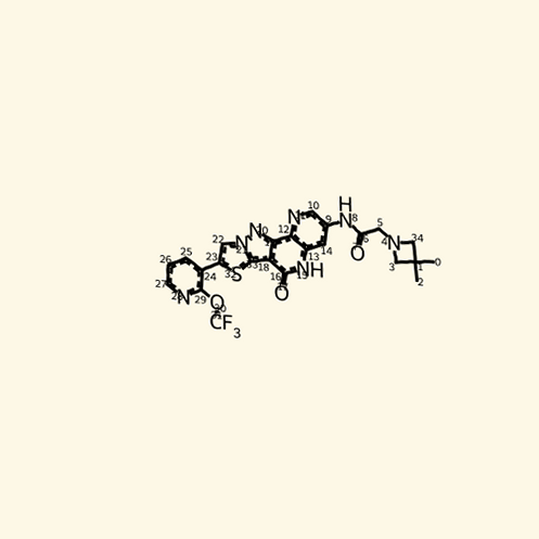 CC1(C)CN(CC(=O)Nc2cnc3c(c2)[nH]c(=O)c2c3nn3cc(-c4cccnc4OC(F)(F)F)sc23)C1